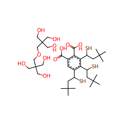 CC(C)(C)CC(S)c1cc(C(=O)O)c(C(=O)O)c(C(S)CC(C)(C)C)c1C(S)CC(C)(C)C.OCC(CO)(CO)COCC(CO)(CO)CO